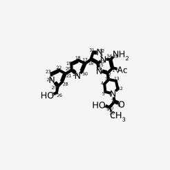 CC(=O)c1c(C2CCN(C(=O)[C@@H](C)O)CC2)nc2c(-c3ccc(-c4ccnc(CO)c4)nc3)cnn2c1N